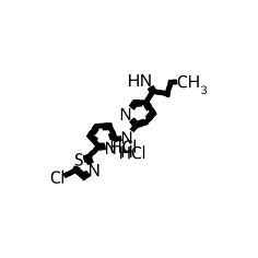 CCCC(=N)c1ccc(Nc2cccc(-c3ncc(Cl)s3)n2)nc1.Cl.Cl